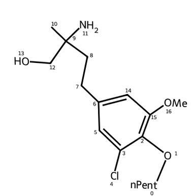 CCCCCOc1c(Cl)cc(CCC(C)(N)CO)cc1OC